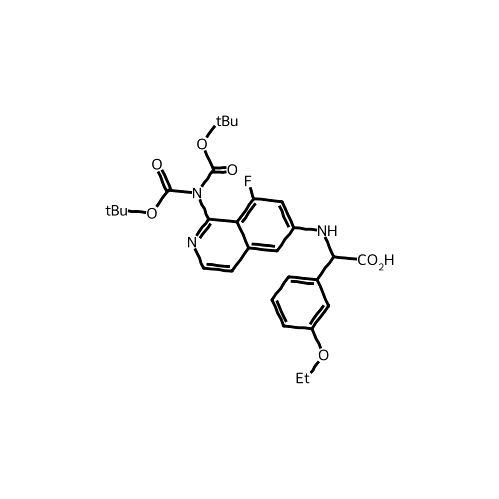 CCOc1cccc(C(Nc2cc(F)c3c(N(C(=O)OC(C)(C)C)C(=O)OC(C)(C)C)nccc3c2)C(=O)O)c1